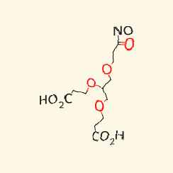 O=NC(=O)CCOCC(COCCC(=O)O)OCCC(=O)O